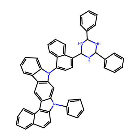 c1ccc(C2NC(c3ccccc3)NC(c3ccc(-n4c5ccccc5c5cc6c7c8ccccc8ccc7n(-c7ccccc7)c6cc54)c4ccccc34)N2)cc1